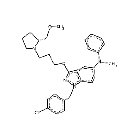 COC[C@H]1CCCN1CCCOc1nn(Cc2ccc(Cl)cc2)c2ccc(N(C)c3ccccc3)cc12